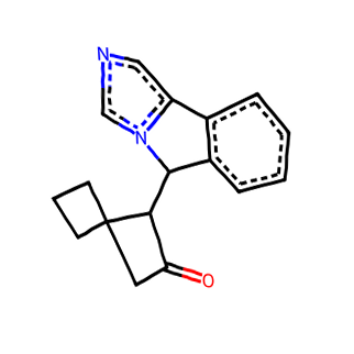 O=C1CC2(CCC2)C1C1c2ccccc2-c2cncn21